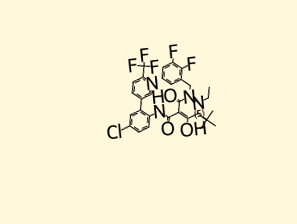 CCN1[C@@H](C(C)(C)C)C(O)=C(C(=O)Nc2ccc(Cl)cc2-c2ccc(C(F)(F)F)nc2)C(=O)N1Cc1cccc(F)c1F